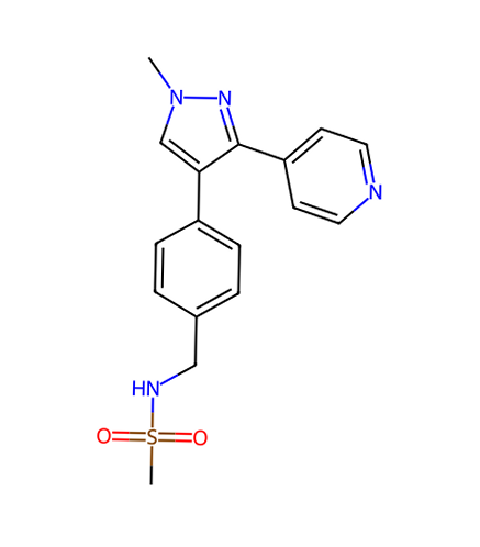 Cn1cc(-c2ccc(CNS(C)(=O)=O)cc2)c(-c2ccncc2)n1